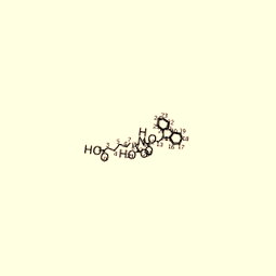 O=C(O)CCCCC[C@H](NC(=O)OCC1c2ccccc2-c2ccccc21)C(=O)O